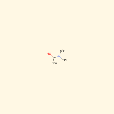 CCCCC(O)N(CCC)CCC